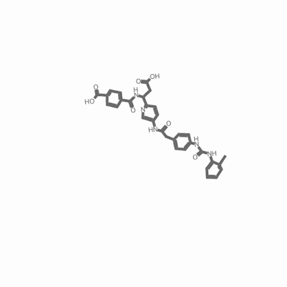 Cc1ccccc1NC(=O)Nc1ccc(CC(=O)Nc2ccc(C(CC(=O)O)NC(=O)c3ccc(C(=O)O)cc3)nc2)cc1